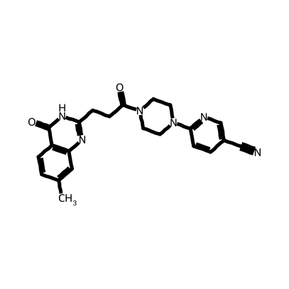 Cc1ccc2c(=O)[nH]c(CCC(=O)N3CCN(c4ccc(C#N)cn4)CC3)nc2c1